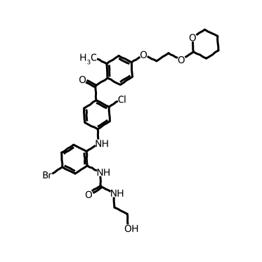 Cc1cc(OCCOC2CCCCO2)ccc1C(=O)c1ccc(Nc2ccc(Br)cc2NC(=O)NCCO)cc1Cl